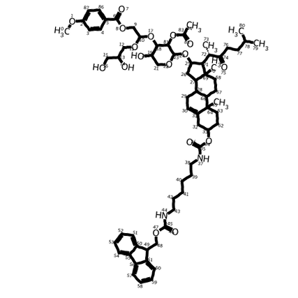 COc1ccc(C(=O)OCC(OCC(O)CO)OC2C(O)COC(OC3CC4C5CC=C6CC(OC(=O)NCCCCCCNC(=O)OCC7c8ccccc8-c8ccccc87)CCC6(C)C5CCC4(C)C3[C@H](C)C(=O)CCC(C)C)C2OC(C)=O)cc1